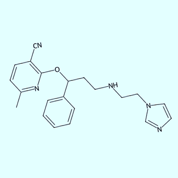 Cc1ccc(C#N)c(OC(CCNCCn2ccnc2)c2ccccc2)n1